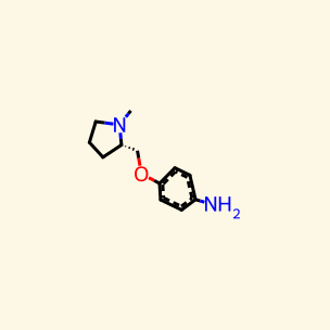 CN1CCC[C@H]1COc1ccc(N)cc1